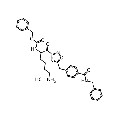 Cl.NCCCCC(NC(=O)OCc1ccccc1)C(=O)c1noc(Cc2ccc(C(=O)NCc3ccccc3)cc2)n1